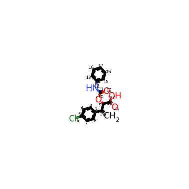 C=C(c1ccc(Cl)cc1)C(OC(=O)Nc1ccccc1)C(=O)O